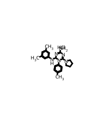 Cc1ccc(N2C(N3CCCC3)=NC(N)=NC2Nc2cc(C)cc(C)c2)cc1.Cl